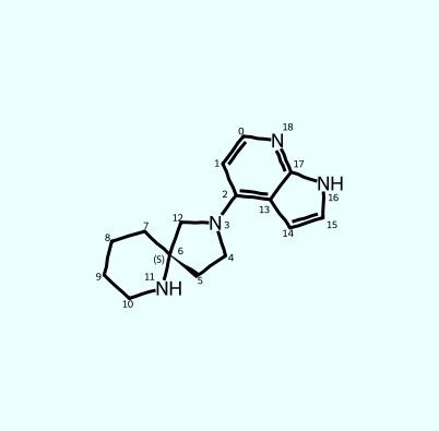 c1cc(N2CC[C@@]3(CCCCN3)C2)c2cc[nH]c2n1